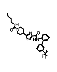 CCCCNC(=O)N1CCC(c2nc(C(=O)Nc3ccccc3-c3cccc(C(F)(F)F)c3)cs2)CC1